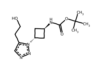 CC(C)(C)OC(=O)N[C@H]1C[C@H](n2nncc2CCO)C1